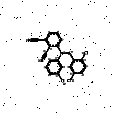 N#Cc1cccc(N(Sc2cc(Cl)ccc2Cl)c2cccc(Cl)c2)c1C#N